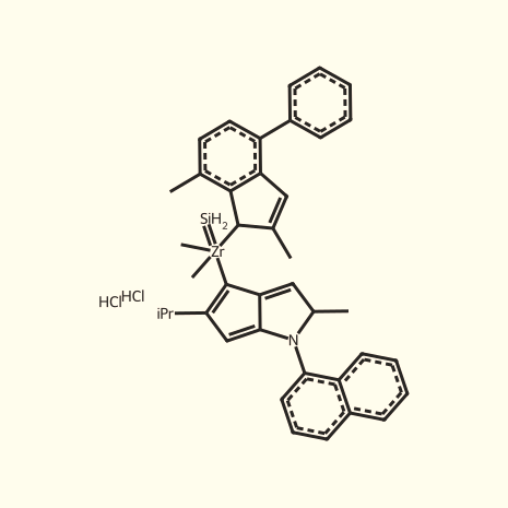 CC1=Cc2c(-c3ccccc3)ccc(C)c2[CH]1[Zr]([CH3])([CH3])(=[SiH2])[C]1=C(C(C)C)C=C2C1=CC(C)N2c1cccc2ccccc12.Cl.Cl